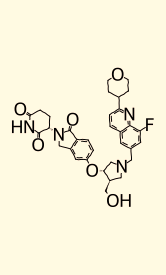 O=C1CC[C@H](N2Cc3cc(O[C@@H]4CN(Cc5cc(F)c6nc(C7CCOCC7)ccc6c5)C[C@H]4CO)ccc3C2=O)C(=O)N1